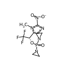 Cn1c([C@H](OP(=O)(N2CC2)N2CC2)C(F)(F)F)cnc1[N+](=O)[O-]